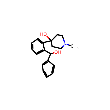 CN1CCC(O)(c2ccccc2C(O)c2ccccc2)CC1